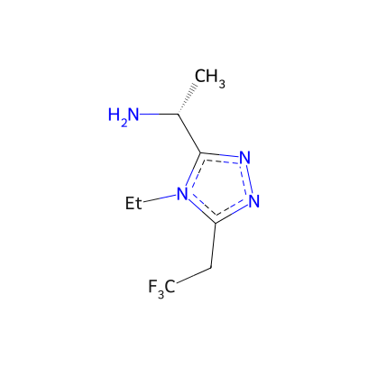 CCn1c(CC(F)(F)F)nnc1[C@@H](C)N